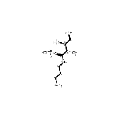 CCCCNC(=O)[C@@H](O)[C@@H](N)CC.Cl.Cl